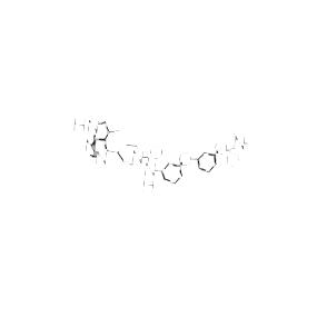 Cc1c[nH]c2ncnc(C3=CCN(C(=O)Nc4cccc(Oc5cccc(OC(=O)N(C)C)c5)c4)CC3)c12